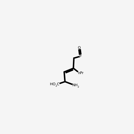 CCC/C(=C\C(N)C(=O)O)CP=O